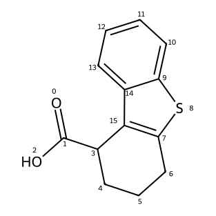 O=C(O)C1CCCc2sc3ccccc3c21